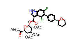 COC(=O)[C@H]1O[C@@H](OC(=O)c2c[nH]c3cc(F)c(-c4ccc([C@@H]5CCCCO5)cc4)c(F)c23)[C@H](OC(C)=O)[C@@H](OC(C)=O)[C@@H]1OC(C)=O